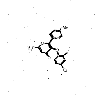 CSc1ccc(-c2oc(C)cc(=O)c2Oc2ccc(Cl)cc2F)cc1